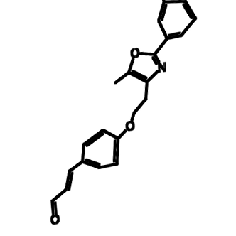 Cc1cccc(-c2nc(CCOc3ccc(/C=C/C=O)cc3)c(C)o2)c1